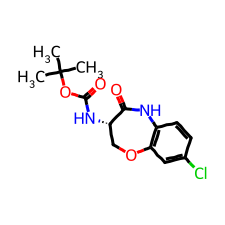 CC(C)(C)OC(=O)N[C@H]1COc2cc(Cl)ccc2NC1=O